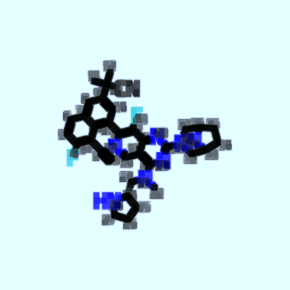 C#Cc1c(F)ccc2cc(C(C)(C)C#N)cc(-c3ncc4c(N(C)C[C@H]5CCCN5)nc(N5CC6CCC(C5)N6C)nc4c3F)c12